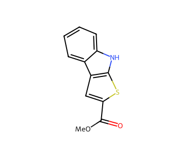 COC(=O)c1cc2c([nH]c3ccccc32)s1